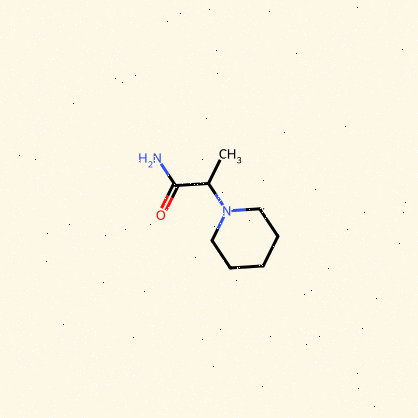 CC(C(N)=O)N1[CH]CCCC1